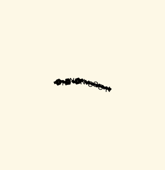 CC=NCCCOCCOCCOCCCN=Cc1ccc(C=Nc2ccc(N=Cc3ccc(C)cc3)cc2)cc1